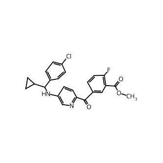 COC(=O)c1cc(C(=O)c2ccc(NC(c3ccc(Cl)cc3)C3CC3)cn2)ccc1F